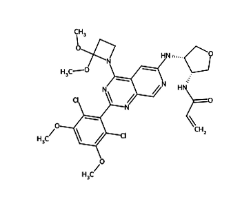 C=CC(=O)N[C@H]1COC[C@H]1Nc1cc2c(N3CCC3(OC)OC)nc(-c3c(Cl)c(OC)cc(OC)c3Cl)nc2cn1